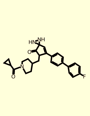 O=C(C1CC1)N1CCC(CC2C(=O)C3(C=C2c2ccc(-c4ccc(F)cc4)cc2)NN3)CC1